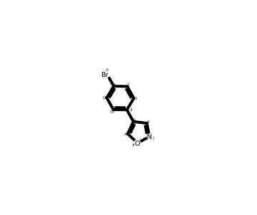 Brc1ccc(-c2cnoc2)cc1